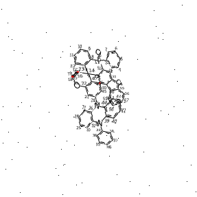 O=P1(c2ccccc2)c2ccccc2C2(c3ccccc3Oc3cc(N4c5ccccc5N(c5ccccc5)c5ccccc54)ccc32)c2cc3c(cc21)oc1ccccc13